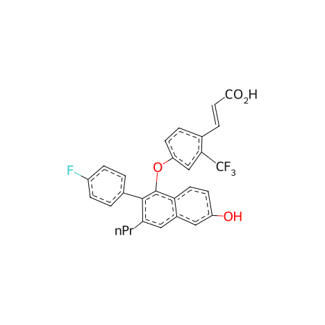 CCCc1cc2cc(O)ccc2c(Oc2ccc(C=CC(=O)O)c(C(F)(F)F)c2)c1-c1ccc(F)cc1